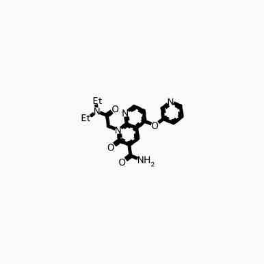 CCN(CC)C(=O)Cn1c(=O)c(C(N)=O)cc2c(Oc3cccnc3)ccnc21